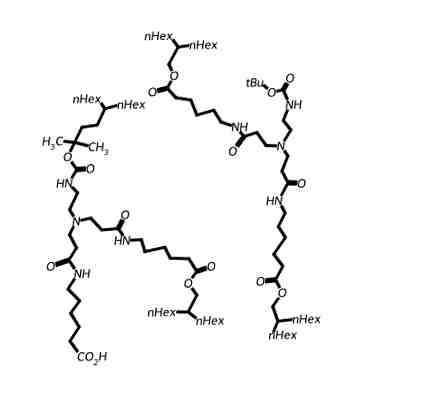 CCCCCCC(CCCCCC)CCC(C)(C)OC(=O)NCCN(CCC(=O)NCCCCCC(=O)O)CCC(=O)NCCCCCC(=O)OCC(CCCCCC)CCCCCC.CCCCCCC(CCCCCC)COC(=O)CCCCCNC(=O)CCN(CCNC(=O)OC(C)(C)C)CCC(=O)NCCCCCC(=O)OCC(CCCCCC)CCCCCC